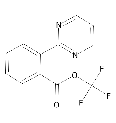 O=C(OC(F)(F)F)c1ccccc1-c1ncccn1